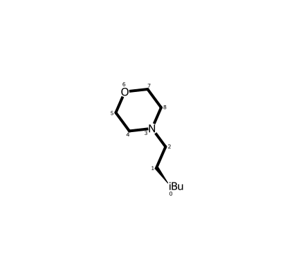 CC[C@H](C)CCN1CCOCC1